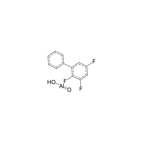 Fc1cc(F)c(F)c(-c2ccccc2)c1.[O]=[Al][OH]